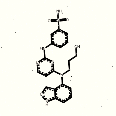 NS(=O)(=O)c1cccc(Nc2nccc(N(CCCO)c3cccc4[nH]ncc34)n2)c1